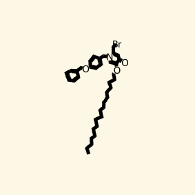 CCCCCCCCCCCCCCCCCCOc1cn(Cc2ccc(OCc3ccccc3)cc2)c(CBr)cc1=O